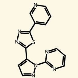 c1cnc(-n2nccc2-c2nnc(-c3cccnc3)s2)nc1